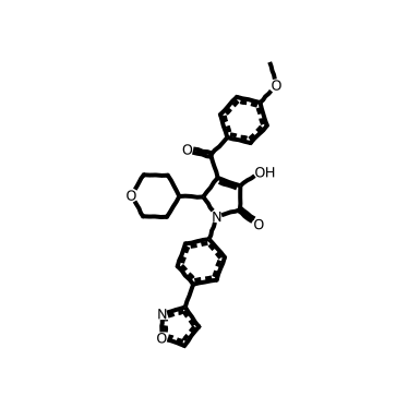 COc1ccc(C(=O)C2=C(O)C(=O)N(c3ccc(-c4ccon4)cc3)C2C2CCOCC2)cc1